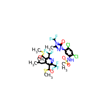 CSC(=O)c1c(C(F)F)nc(C(F)(F)F)c(C(=O)SC)c1CC(C)C.Cc1nn(-c2cc(NS(C)(=O)=O)c(Cl)cc2Cl)c(=O)n1C(F)F